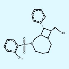 Cc1ccccc1S(=O)(=O)N1CCCCN2C(C1)[C@H](c1ccccc1)[C@H]2CO